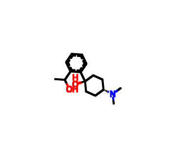 CC(O)c1ccccc1[C@]1(O)CC[C@H](N(C)C)CC1